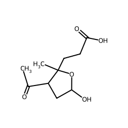 CC(=O)C1CC(O)OC1(C)CCC(=O)O